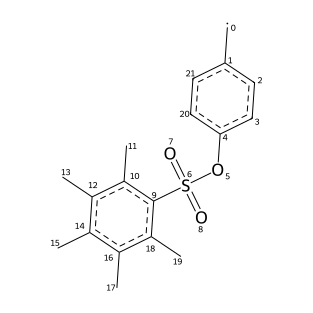 [CH2]c1ccc(OS(=O)(=O)c2c(C)c(C)c(C)c(C)c2C)cc1